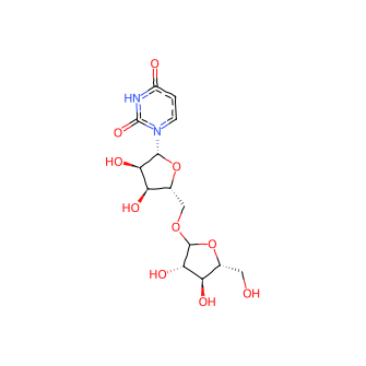 O=c1ccn([C@@H]2O[C@H](COC3O[C@H](CO)[C@@H](O)[C@@H]3O)[C@@H](O)[C@H]2O)c(=O)[nH]1